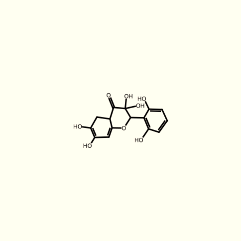 O=C1C2CC(O)=C(O)C=C2OC(c2c(O)cccc2O)C1(O)O